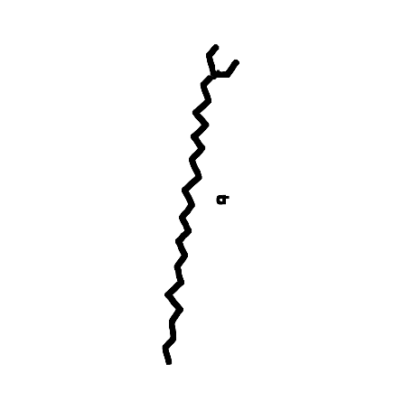 CCCCCCCCCCCCCCCCCCCCCC[S+](CC)CC.[Cl-]